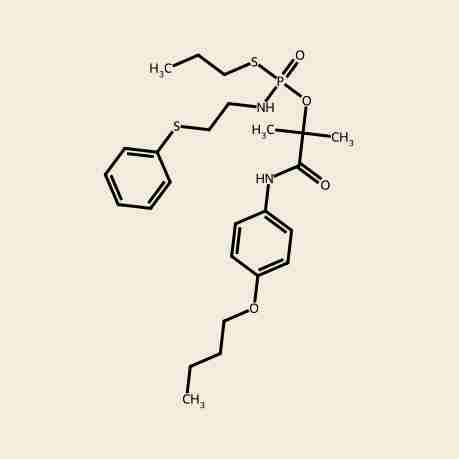 CCCCOc1ccc(NC(=O)C(C)(C)OP(=O)(NCCSc2ccccc2)SCCC)cc1